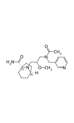 COC(CN(Cc1cccnc1)C(C)=O)CN1[C@@H]2C[CH]C[C@@]1(C(N)=O)CC2